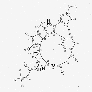 CCn1cc(-c2[nH]c3ncc4c5c3c2-c2ccc(cc2)C(C)CC(=O)O[C@@H]2C[C@H](C[C@@H]2NC(=O)OC(C)(C)C)n5c(=O)n4C)c(F)n1